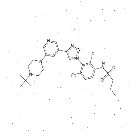 CCCS(=O)(=O)Nc1ccc(F)c(-n2cc(-c3cncc(N4CCN(C(C)(C)C)CC4)c3)nn2)c1F